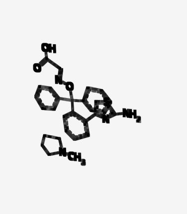 CN1CCCC1.Nc1nc(-c2ccccc2C(ON=CC(=O)O)(c2ccccc2)c2ccccc2)cs1